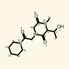 CC(O)C1C(=O)N(CC(=O)N2CCCCC2)CC(=O)N1C